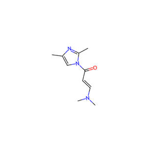 Cc1cn(C(=O)C=CN(C)C)c(C)n1